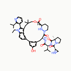 CCn1c(-c2cccnc2C(C)C)c2c3cc(ccc31)-c1cc(O)cc(c1)C[C@H](NC(=O)[C@H](C(C)C)N(C)C(=O)[C@@]1(C)CCCN1C(=O)[C@H]1CN1)C(=O)N1CCC[C@H](N1)C(=O)OCC(C)(C)C2